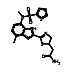 Cc1ccc(N(C)S(=O)(=O)c2cccs2)c2[nH]c(C3=NCC(CC(N)=O)S3)cc12